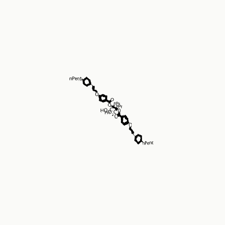 CCCCC[C@H]1CC[C@H](C=CCOc2ccc(C(=O)O[C@@](CCC)(C(=O)O)[C@@](CCC)(OC(=O)c3ccc(OCC=C[C@H]4CC[C@H](CCCCC)CC4)cc3)C(=O)O)cc2)CC1